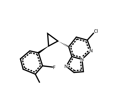 Cc1cccc([C@H]2C[C@@H]2c2cc(Cl)nn3ccnc23)c1F